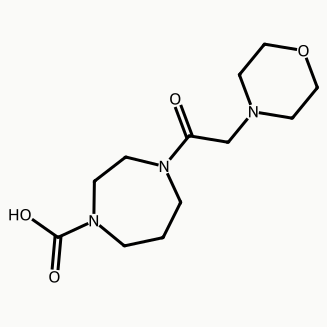 O=C(O)N1CCCN(C(=O)CN2CCOCC2)CC1